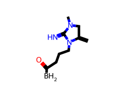 BC(=O)CCCN1C(=C)CN(C)C1=N